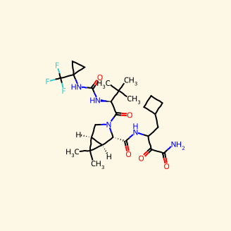 CC(C)(C)[C@H](NC(=O)NC1(C(F)(F)F)CC1)C(=O)N1C[C@H]2[C@@H]([C@H]1C(=O)NC(CC1CCC1)C(=O)C(N)=O)C2(C)C